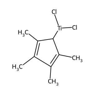 CC1=C(C)[CH]([Ti]([Cl])[Cl])C(C)=C1C